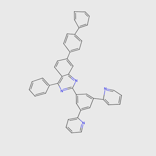 c1ccc(-c2ccc(-c3ccc4c(-c5ccccc5)nc(-c5cc(-c6ccccn6)cc(-c6ccccn6)c5)nc4c3)cc2)cc1